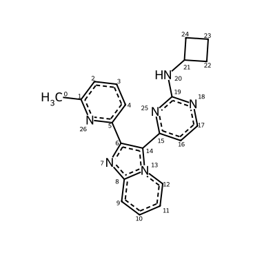 Cc1cccc(-c2nc3ccccn3c2-c2ccnc(NC3CCC3)n2)n1